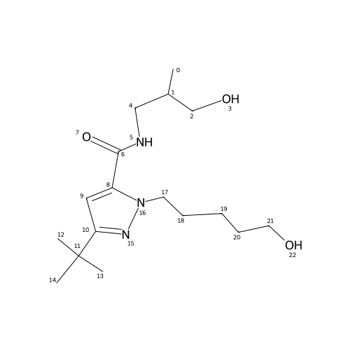 CC(CO)CNC(=O)c1cc(C(C)(C)C)nn1CCCCCO